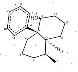 C[C@H]1CCC[C@]2(c3ccccc3)[C@@H](O)CCC[C@@H]12